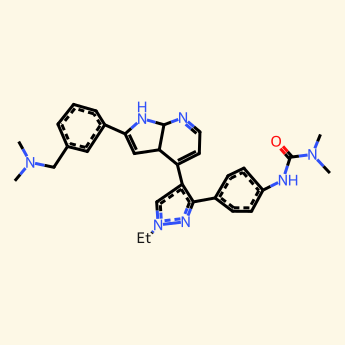 CCn1cc(C2=CC=NC3NC(c4cccc(CN(C)C)c4)=CC23)c(-c2ccc(NC(=O)N(C)C)cc2)n1